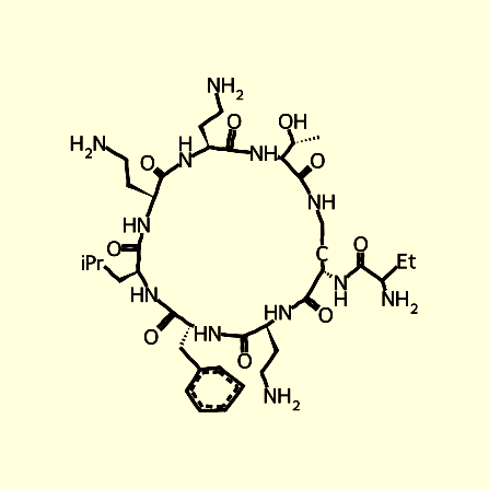 CCC(N)C(=O)N[C@H]1CCNC(=O)[C@H]([C@@H](C)O)NC(=O)[C@H](CCN)NC(=O)[C@H](CCN)NC(=O)[C@H](CC(C)C)NC(=O)[C@@H](Cc2ccccc2)NC(=O)[C@H](CCN)NC1=O